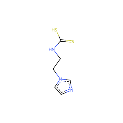 S=C(S)NCCn1ccnc1